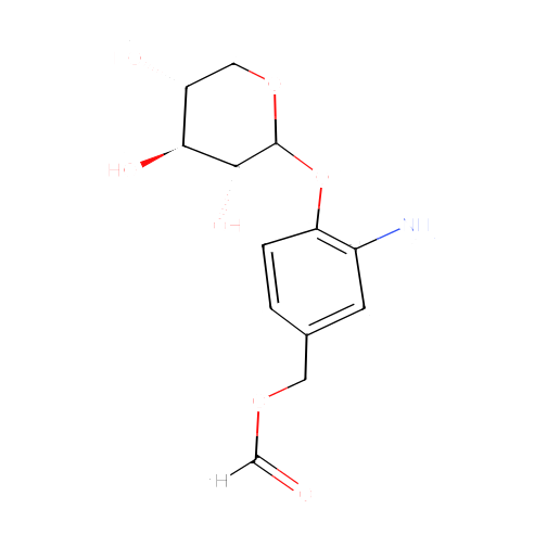 [2H]C(=O)OCc1ccc(OC2OC[C@@H](O)[C@H](O)[C@H]2O)c(N)c1